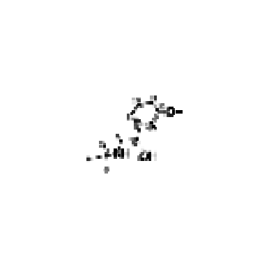 CC(C)(C)NC[C@@H](O)c1cccc(O)n1